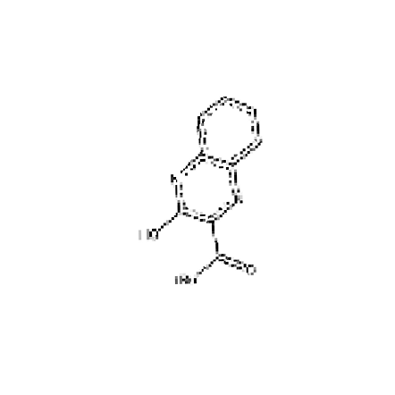 CC(C)(C)C(=O)c1nc2ccccc2nc1O